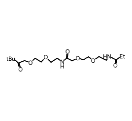 CCC(=O)NCCOCCOCC(=O)NCCOCCOCC(=O)C(C)(C)C